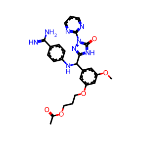 COc1cc(OCCCOC(C)=O)cc(C(Nc2ccc(C(=N)N)cc2)c2nn(-c3ncccn3)c(=O)[nH]2)c1